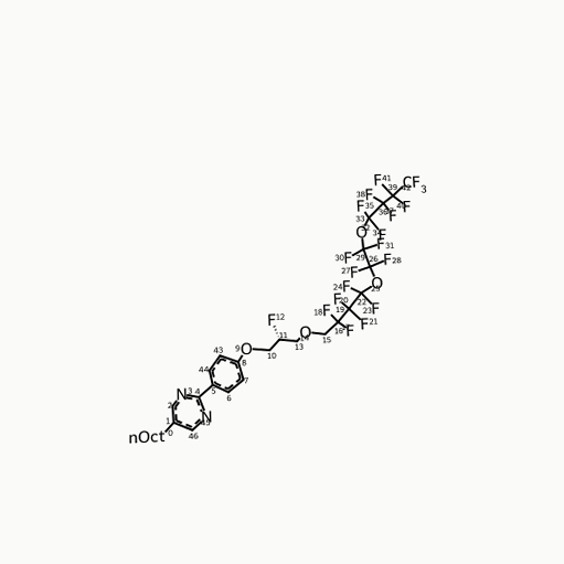 CCCCCCCCc1cnc(-c2ccc(OC[C@H](F)COCC(F)(F)C(F)(F)C(F)(F)OC(F)(F)C(F)(F)OC(F)(F)C(F)(F)C(F)(F)C(F)(F)F)cc2)nc1